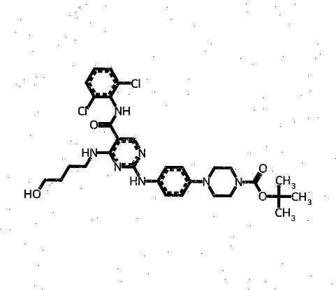 CC(C)(C)OC(=O)N1CCN(c2ccc(Nc3ncc(C(=O)Nc4c(Cl)cccc4Cl)c(NCCCCO)n3)cc2)CC1